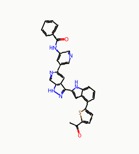 CC(=O)c1ccc(-c2cccc3[nH]c(-c4n[nH]c5cnc(-c6cncc(NC(=O)c7ccccc7)c6)cc45)cc23)s1